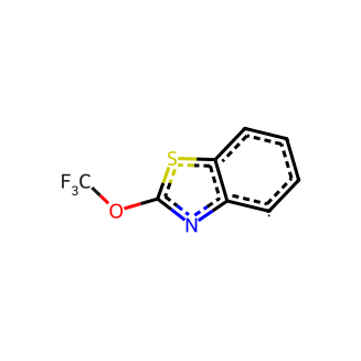 FC(F)(F)Oc1nc2[c]cccc2s1